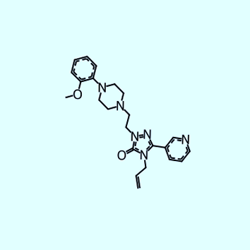 C=CCn1c(-c2cccnc2)nn(CCN2CCN(c3ccccc3OC)CC2)c1=O